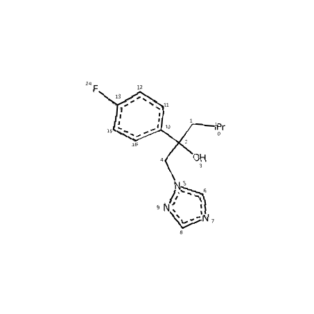 CC(C)CC(O)(Cn1cncn1)c1ccc(F)cc1